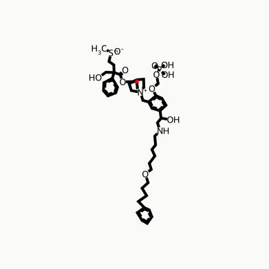 C[S+]([O-])CCC(CO)(C(=O)OC1C[N+]2(Cc3cc(C(O)CNCCCCCCOCCCCc4ccccc4)ccc3OCOP(=O)(O)O)CCC1CC2)c1ccccc1